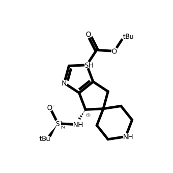 CC(C)(C)OC(=O)[SH]1C=NC2=C1CC1(CCNCC1)[C@@H]2N[S@+]([O-])C(C)(C)C